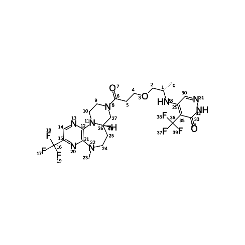 C[C@@H](COCCC(=O)N1CCN2c3ncc(C(F)(F)F)nc3N(C)CC[C@H]2C1)Nc1cn[nH]c(=O)c1C(F)(F)F